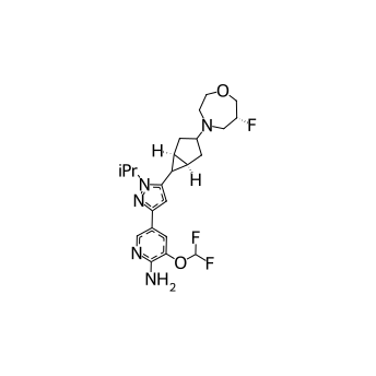 CC(C)n1nc(-c2cnc(N)c(OC(F)F)c2)cc1C1[C@H]2CC(N3CCOC[C@H](F)C3)C[C@@H]12